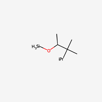 CC(C)C(C)(C)C(C)O[SiH3]